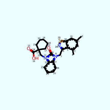 Cc1cc(C)c2c(Cn3c(=O)n(CC4(C(=O)O)CCCCC4)c4ccccc43)nsc2c1